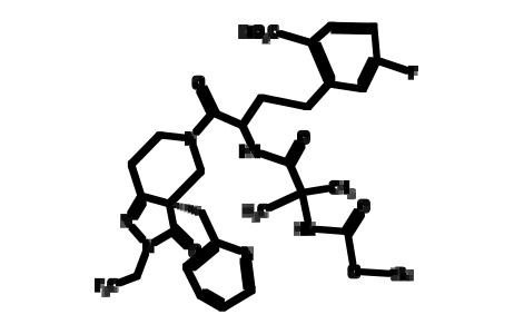 CCOC(=O)c1ccc(F)cc1CCC(NC(=O)C(C)(C)NC(=O)OC(C)(C)C)C(=O)N1CCC2=NN(CC(F)(F)F)C(=O)[C@]2(Cc2ccccn2)C1